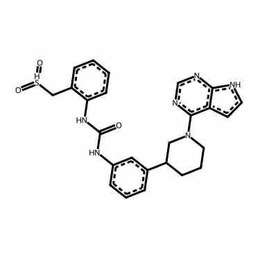 O=C(Nc1cccc(C2CCCN(c3ncnc4[nH]ccc34)C2)c1)Nc1ccccc1C[SH](=O)=O